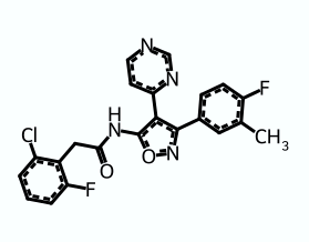 Cc1cc(-c2noc(NC(=O)Cc3c(F)cccc3Cl)c2-c2ccncn2)ccc1F